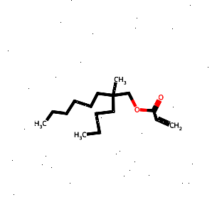 C=CC(=O)OCC(C)(CCCC)CCCCCC